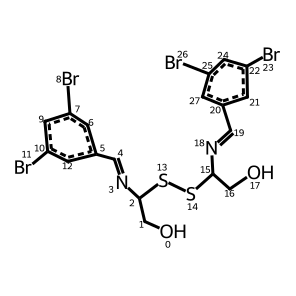 OCC(N=Cc1cc(Br)cc(Br)c1)SSC(CO)N=Cc1cc(Br)cc(Br)c1